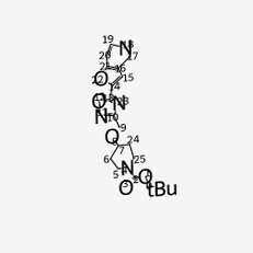 CC(C)(C)OC(=O)N1CCC(OCc2noc(-c3cc4cnccc4o3)n2)CC1